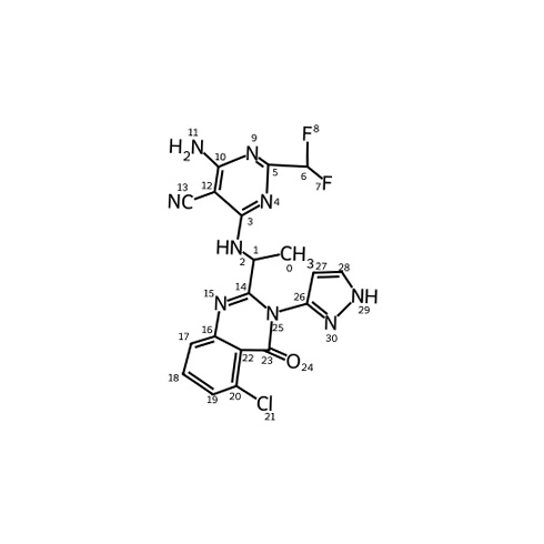 CC(Nc1nc(C(F)F)nc(N)c1C#N)c1nc2cccc(Cl)c2c(=O)n1-c1cc[nH]n1